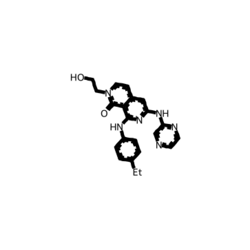 CCc1ccc(Nc2nc(Nc3cnccn3)cc3ccn(CCO)c(=O)c23)cc1